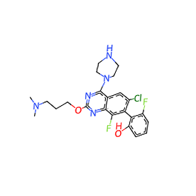 CN(C)CCCOc1nc(N2CCNCC2)c2cc(Cl)c(-c3c(O)cccc3F)c(F)c2n1